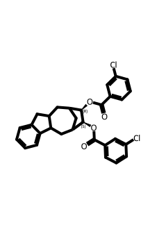 O=C(O[C@@H]1C2CC3Cc4ccccc4C3CC(C2)[C@@H]1OC(=O)c1cccc(Cl)c1)c1cccc(Cl)c1